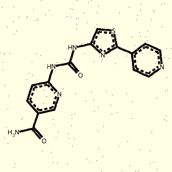 NC(=O)c1ccc(NC(=O)Nc2csc(-c3ccncc3)n2)nc1